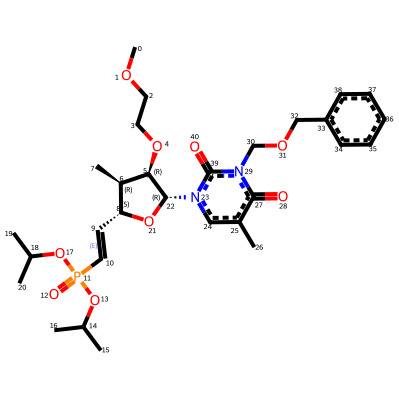 COCCO[C@@H]1[C@H](C)[C@@H](/C=C/P(=O)(OC(C)C)OC(C)C)O[C@H]1n1cc(C)c(=O)n(COCc2ccccc2)c1=O